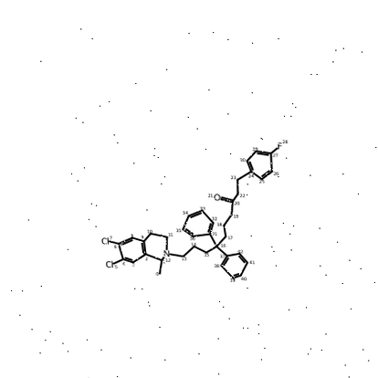 CC1c2cc(Cl)c(Cl)cc2CCN1CCCC(CCCC(=O)CCc1ccc(F)cc1)(c1ccccc1)c1ccccc1